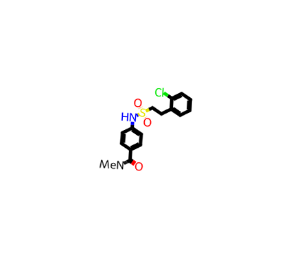 CNC(=O)c1ccc(NS(=O)(=O)CCc2ccccc2Cl)cc1